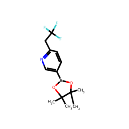 CC1(C)OB(c2ccc(CC(F)(F)F)nc2)OC1(C)C